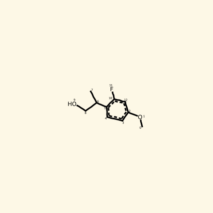 COc1ccc(C(C)CO)c(F)c1